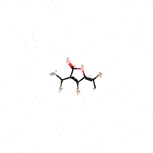 CCCC(Br)C1=C(Br)/C(=C(\C)Br)OC1=O